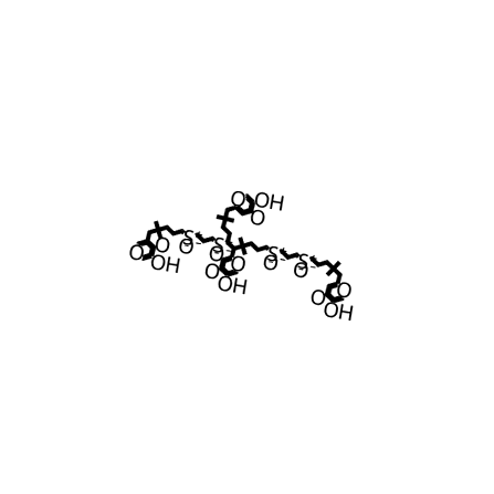 CC(C)(CCC[S+]([O-])CCC[S+]([O-])CCCC(C)(C)C(c1cc(=O)c(O)co1)C(CCC(C)(C)Cc1cc(=O)c(O)co1)[S+]([O-])CCC[S+]([O-])CCCC(C)(C)Cc1cocc(O)c1=O)Cc1cc(=O)c(O)co1